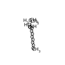 COCCOCCOCCOCCOCCOCCOCCOC(=O)NC(CCCCC(C)(C)C)C(=O)O